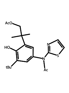 CC(=O)OCC(C)(C)c1cc(N(C(C)=O)c2nccs2)cc(C(C)(C)C)c1O